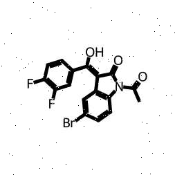 CC(=O)N1C(=O)/C(=C(\O)c2ccc(F)c(F)c2)c2cc(Br)ccc21